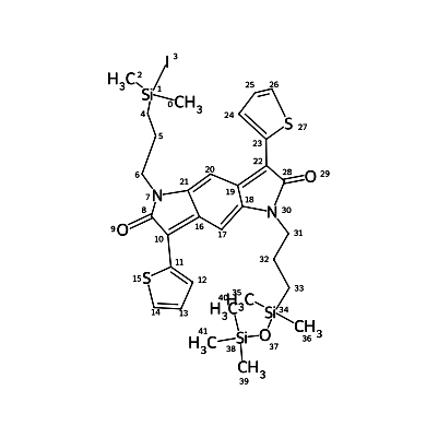 C[Si](C)(I)CCCN1C(=O)C(c2cccs2)=c2cc3c(cc21)=C(c1cccs1)C(=O)N3CCC[Si](C)(C)O[Si](C)(C)C